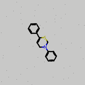 C1=C(c2ccccc2)SCN(c2ccccc2)C1